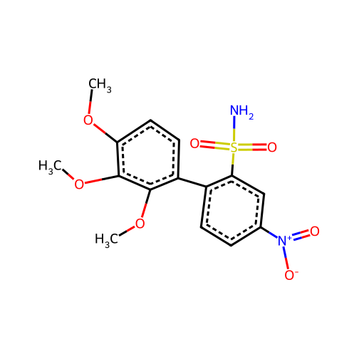 COc1ccc(-c2ccc([N+](=O)[O-])cc2S(N)(=O)=O)c(OC)c1OC